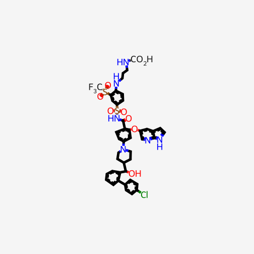 O=C(O)NCCCNc1ccc(S(=O)(=O)NC(=O)c2ccc(N3CCC(C(O)c4ccccc4-c4ccc(Cl)cc4)CC3)cc2Oc2cnc3[nH]ccc3c2)cc1S(=O)(=O)C(F)(F)F